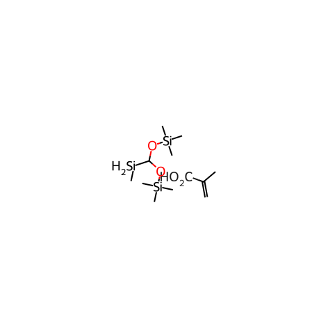 C=C(C)C(=O)O.C[SiH2]C(O[Si](C)(C)C)O[Si](C)(C)C